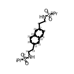 CC(C)S(=O)(=O)NCCc1ccc2cc(CCNS(=O)(=O)C(C)C)ccc2c1